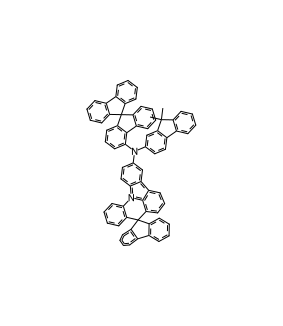 CC1(C)c2ccccc2-c2ccc(N(c3ccc4c(c3)c3cccc5c3n4-c3ccccc3C53c4ccccc4-c4ccccc43)c3cccc4c3-c3ccccc3C43c4ccccc4-c4ccccc43)cc21